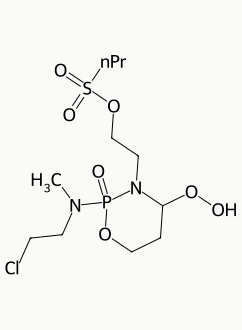 CCCS(=O)(=O)OCCN1C(OO)CCOP1(=O)N(C)CCCl